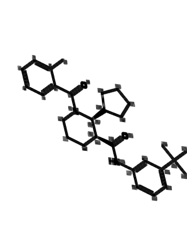 Cc1ccccc1C(=O)N1CCC[C@H](C(=O)Nc2cccc(C(C)(C)C)c2)[C@@H]1C1CCCC1